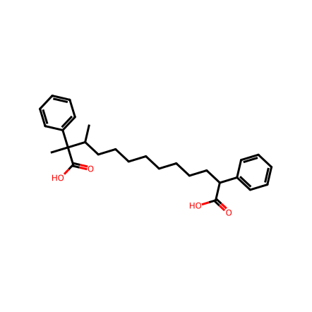 CC(CCCCCCCCC(C(=O)O)c1ccccc1)C(C)(C(=O)O)c1ccccc1